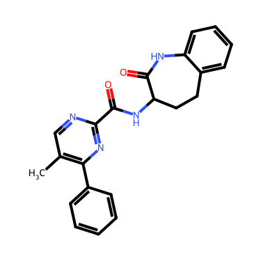 Cc1cnc(C(=O)NC2CCc3ccccc3NC2=O)nc1-c1ccccc1